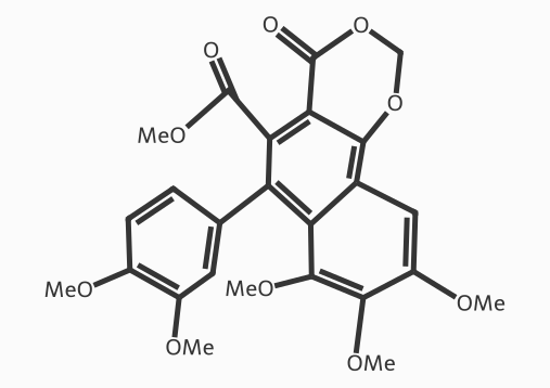 COC(=O)c1c2c(c3cc(OC)c(OC)c(OC)c3c1-c1ccc(OC)c(OC)c1)OCOC2=O